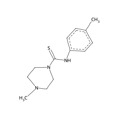 Cc1ccc(NC(=S)N2CCN(C)CC2)cc1